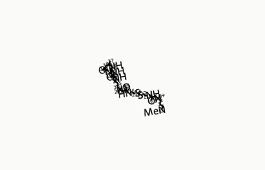 CNCCC[N+](C)(C)CC(=O)NCCSSCCNC(=O)C[N+](C)(C)CCCNC(=O)Nc1nc(=O)cc(C)[nH]1